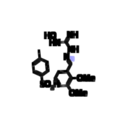 COc1cccc(/C=N/NC(=N)NO)c1OC.Cc1ccc(S(=O)(=O)O)cc1